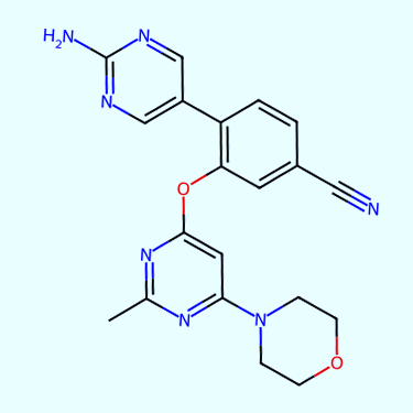 Cc1nc(Oc2cc(C#N)ccc2-c2cnc(N)nc2)cc(N2CCOCC2)n1